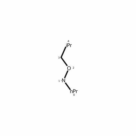 CCC[N]OCC(C)C